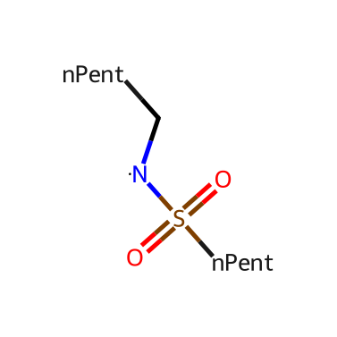 CCCCCC[N]S(=O)(=O)CCCCC